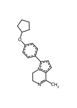 CC1=NCCn2c1ccc2-c1ccc(OC2CCCC2)cc1